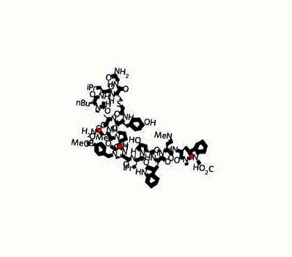 CCCC[C@@H](C(=O)N[C@@H](CC(C)C)C(=O)N[C@@H](CSCC(=O)N[C@@H](Cc1ccc(O)cc1)C(=O)N(C)[C@@H](C)C(=O)N[C@@H](CC(N)=O)C(=O)N1CCC[C@H]1C(=O)N[C@@H](CN(Cc1ccc(B(OC)OC)cc1)C(C)O)C(=O)N[C@@H](CC(C)C)C(=O)N1C[C@H](O)C[C@H]1C(=O)N[C@@H](Cc1c[nH]c2ccccc12)C(=O)N[C@@H](CCNC)C(=O)N[C@@H](Cc1cn(CC(=O)O)c2ccccc12)C(=O)N(C)C)C(=O)NCC(N)=O)N(C)C(C)O